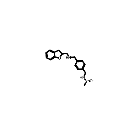 C[S+]([O-])NCc1ccc(CNCC2Cc3ccccc3O2)cc1